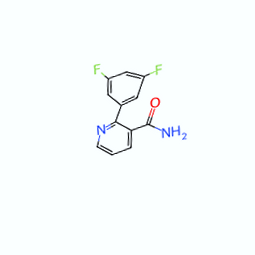 NC(=O)c1cccnc1-c1cc(F)cc(F)c1